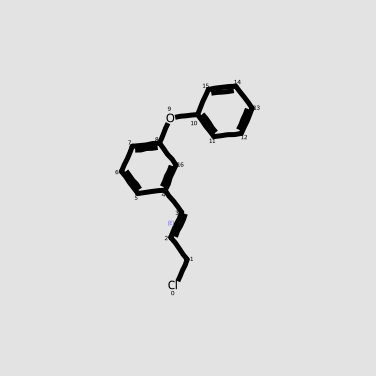 ClC/C=C/c1cccc(Oc2ccccc2)c1